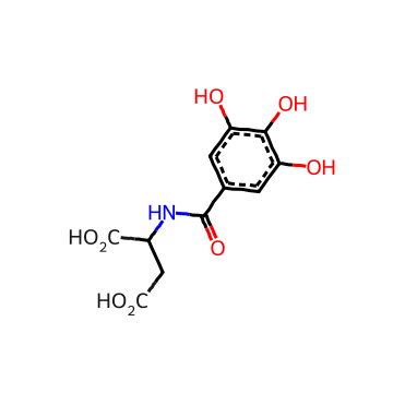 O=C(O)CC(NC(=O)c1cc(O)c(O)c(O)c1)C(=O)O